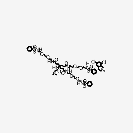 CN(C)CC(=O)NC(CCC(=O)NCCOCCOCCNS(=O)(=O)c1ccccc1)(CCC(=O)NCCOCCOCCNS(=O)(=O)c1ccccc1)CCC(=O)NCCOCCOCCNS(=O)(=O)c1cccc([C@@H]2CN(C)Cc3c(Cl)cc(Cl)cc32)c1